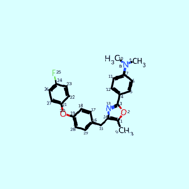 Cc1oc(-c2ccc(N(C)C)cc2)nc1Cc1ccc(Oc2ccc(F)cc2)cc1